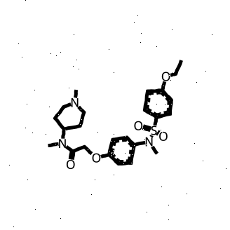 CCOc1ccc(S(=O)(=O)N(C)c2ccc(OCC(=O)N(C)C3CCN(C)CC3)cc2)cc1